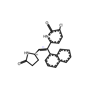 O=C1CC[C@H](/C=C(/c2ccc(Cl)c(=O)[nH]2)c2cccc3ccccc23)N1